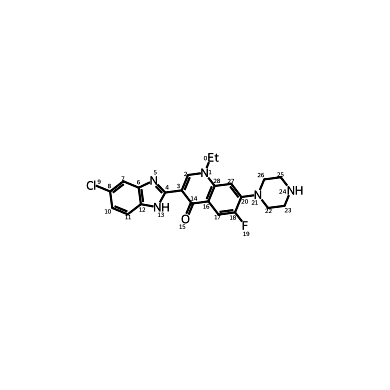 CCn1cc(-c2nc3cc(Cl)ccc3[nH]2)c(=O)c2cc(F)c(N3CCNCC3)cc21